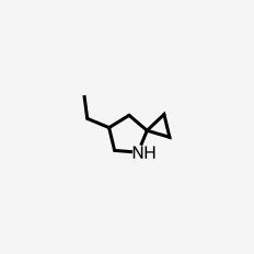 CCC1CNC2(CC2)C1